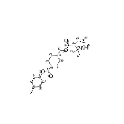 Cc1ccc(OC(=O)C2CCC(COC(=O)C3CC(C)(C)NC3(C)C)CC2)cc1